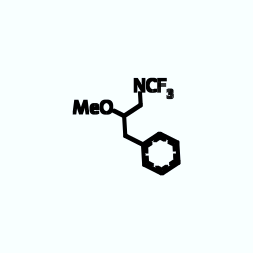 COC(CNC(F)(F)F)Cc1ccccc1